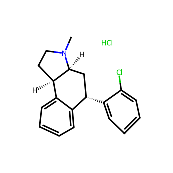 CN1CC[C@@H]2c3ccccc3[C@@H](c3ccccc3Cl)C[C@@H]21.Cl